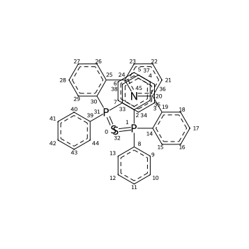 S=P(c1ccccc1)(c1ccccc1)c1ccccc1-c1cccc(-c2ccccc2P(=S)(c2ccccc2)c2ccccc2)n1